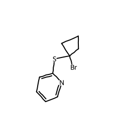 BrC1(Sc2ccccn2)CCC1